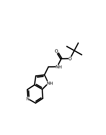 CC(C)(C)OC(=O)NCc1cc2cnccc2[nH]1